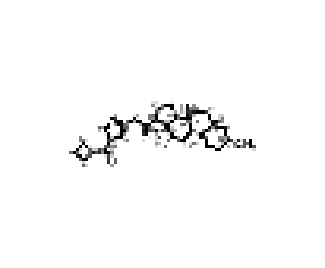 C[C@H]1CC[C@]2(F)C3CC[C@@]4(C)C(CC[C@@H]4C(=O)Cn4cc(C(=O)N5CCC5)cn4)[C@@H]3CC[C@@H]2C1